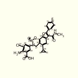 CNC(=O)c1c(-c2ccc(F)cc2)oc2cc(CN(c3cc(Cl)c(N)c(C(=O)O)c3)[SH](=O)=O)c(C3CC3)cc12